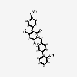 CCCc1nc(CC)c(-c2ccc(OCC)nc2)c(=O)n1Cc1ccc(-c2ccccc2C#N)cc1